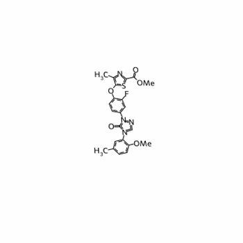 COC(=O)c1nc(C)c(Oc2ccc(-n3ncn(-c4cc(C)ccc4OC)c3=O)cc2F)s1